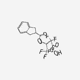 O=C(OC(C(F)(F)F)C(F)(F)S(=O)(=O)O)C1Cc2ccccc2C1